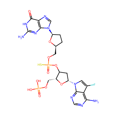 Nc1nc2c(ncn2[C@H]2CC[C@@H](COP(=O)(S)OC3C[C@H](n4cc(F)c5c(N)ncnc54)O[C@@H]3COP(=O)(O)O)O2)c(=O)[nH]1